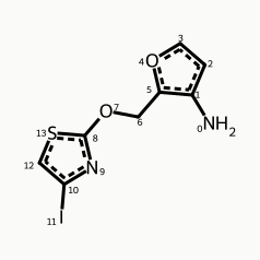 Nc1ccoc1COc1nc(I)cs1